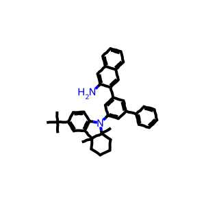 CC(C)(C)c1ccc2c(c1)C1(C)CCCCC1(C)N2c1cc(-c2ccccc2)cc(-c2cc3ccccc3cc2N)c1